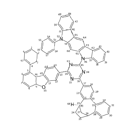 C1=CCCC(C2=CC=CC3Oc4cc(-c5nc(-c6ccc7c(c6)[C@@H]6CCC(C6)c6ccccc6-7)nc(-n6c7ccccc7c7cc8c9ccccc9n(-c9ccccc9)c8cc76)n5)ccc4C23)=C1